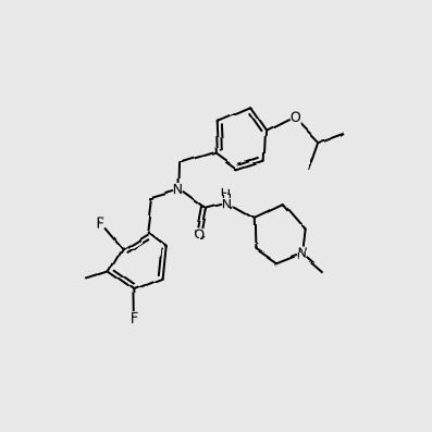 Cc1c(F)ccc(CN(Cc2ccc(OC(C)C)cc2)C(=O)NC2CCN(C)CC2)c1F